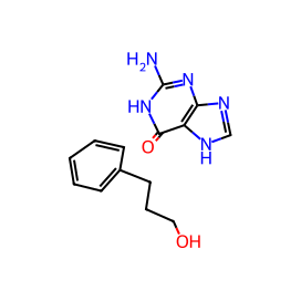 Nc1nc2nc[nH]c2c(=O)[nH]1.OCCCc1ccccc1